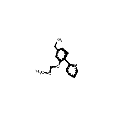 COCOc1cc(CN)ccc1-c1ccccn1